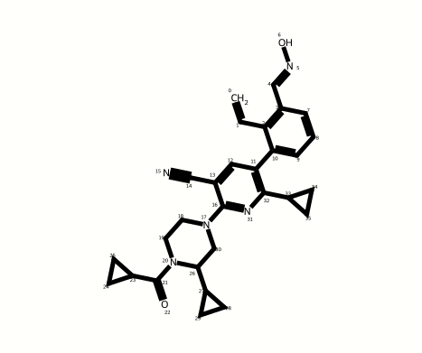 C=Cc1c(/C=N/O)cccc1-c1cc(C#N)c(N2CCN(C(=O)C3CC3)C(C3CC3)C2)nc1C1CC1